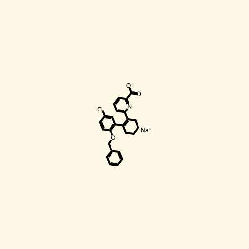 O=C([O-])c1cccc(C2=C(c3cc(Cl)ccc3OCc3ccccc3)CCCC2)n1.[Na+]